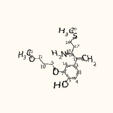 C=C(c1ccc(O)c(OCCCOC)c1)[C@@H](N)CCSC